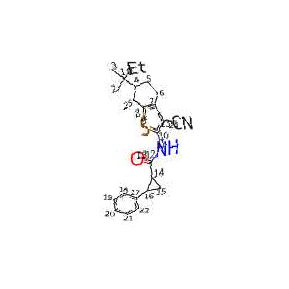 CCC(C)(C)C1CCc2c(sc(NC(=O)C3CC3c3ccccc3)c2C#N)C1